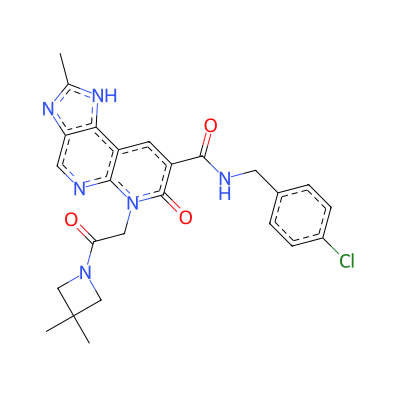 Cc1nc2cnc3c(cc(C(=O)NCc4ccc(Cl)cc4)c(=O)n3CC(=O)N3CC(C)(C)C3)c2[nH]1